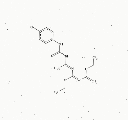 C=C(/C=C(\N=C(/C)NC(=O)Nc1ccc(Cl)cc1)OCC(F)(F)F)OCC(F)(F)F